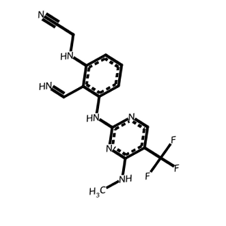 CNc1nc(Nc2cccc(NCC#N)c2C=N)ncc1C(F)(F)F